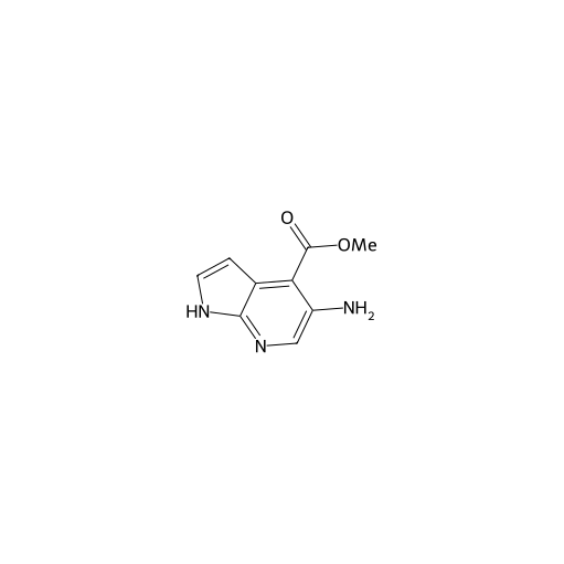 COC(=O)c1c(N)cnc2[nH]ccc12